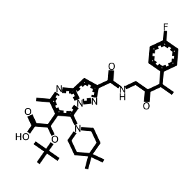 Cc1nc2cc(C(=O)NCC(=O)C(C)c3ccc(F)cc3)nn2c(N2CCC(C)(C)CC2)c1C(OC(C)(C)C)C(=O)O